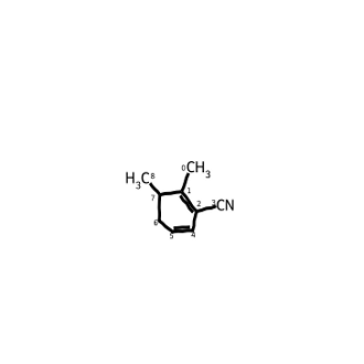 CC1=C(C#N)C=CCC1C